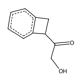 O=C(CO)C1Cc2ccccc21